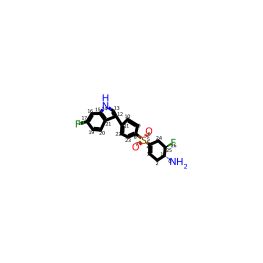 N[C@@H]1CC=C(S(=O)(=O)c2ccc(-c3c[nH]c4cc(F)ccc34)cc2)C[C@H]1F